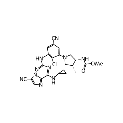 COC(=O)N[C@H]1CN(c2cc(C#N)cc(Nc3nc(NC4CC4)c4ncc(C#N)n4n3)c2Cl)C[C@H]1C